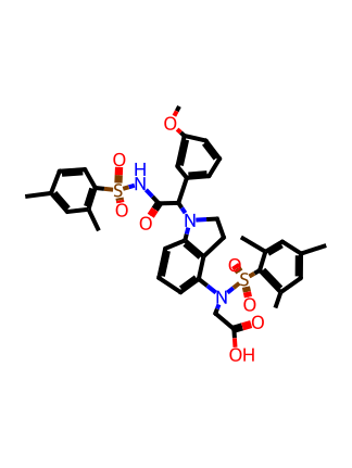 COc1cccc(C(C(=O)NS(=O)(=O)c2ccc(C)cc2C)N2CCc3c2cccc3N(CC(=O)O)S(=O)(=O)c2c(C)cc(C)cc2C)c1